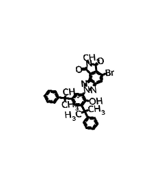 CN1C(=O)c2c(Br)cc3nn(-c4cc(C(C)(C)c5ccccc5)cc(C(C)(C)c5ccccc5)c4O)nc3c2C1=O